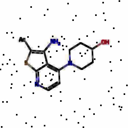 CC(=O)c1sc2nccc(N3CCC(O)CC3)c2c1N